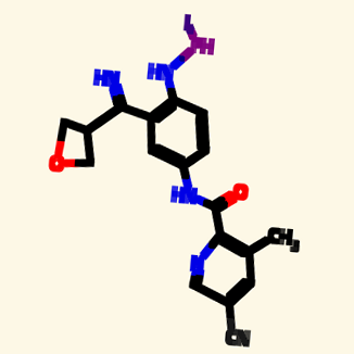 Cc1cc(C#N)cnc1C(=O)Nc1ccc(NPI)c(C(=N)C2COC2)c1